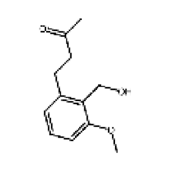 COc1cccc(CCC(C)=O)c1CO